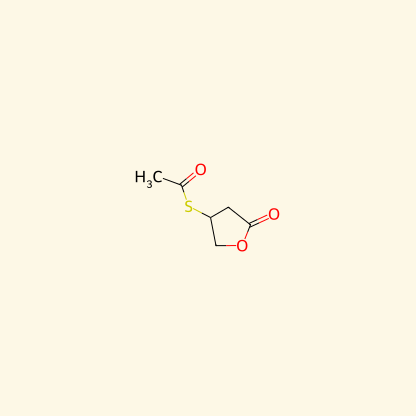 CC(=O)SC1COC(=O)C1